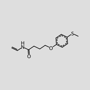 C=CNC(=O)CCCOc1ccc(SC)cc1